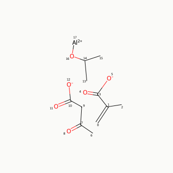 C=C(C)C(=O)[O-].CC(=O)CC(=O)[O-].CC(C)[O][Al+2]